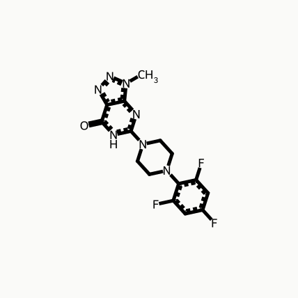 Cn1nnc2c(=O)[nH]c(N3CCN(c4c(F)cc(F)cc4F)CC3)nc21